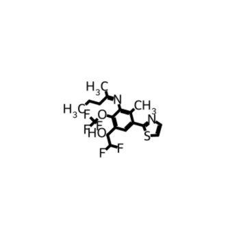 CCC/C(C)=N\c1c(C)c(-c2nccs2)cc(C(O)C(F)F)c1OC(F)(F)F